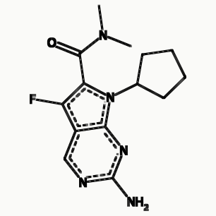 CN(C)C(=O)c1c(F)c2cnc(N)nc2n1C1CCCC1